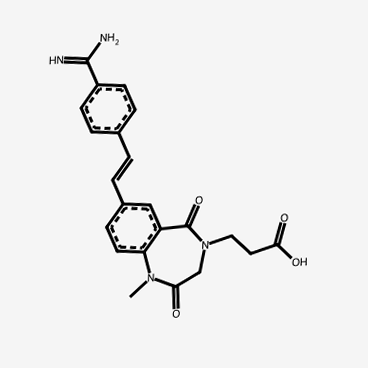 CN1C(=O)CN(CCC(=O)O)C(=O)c2cc(C=Cc3ccc(C(=N)N)cc3)ccc21